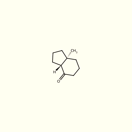 C[C@]12CCCC(=O)[C@@H]1CCC2